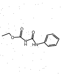 CCOC(=O)NC(=O)Nc1ccccc1